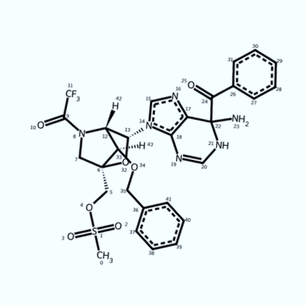 CS(=O)(=O)OC[C@@]12CN(C(=O)C(F)(F)F)[C@H]([C@H](n3cnc4c3N=CNC4(N)C(=O)c3ccccc3)O1)[C@H]2OCc1ccccc1